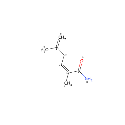 C=C(C)CC=C(C)C(N)=O